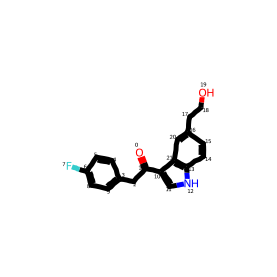 O=C(Cc1ccc(F)cc1)c1c[nH]c2ccc(CCO)cc12